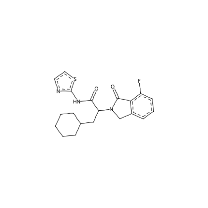 O=C(Nc1nccs1)C(CC1CCCCC1)N1Cc2cccc(F)c2C1=O